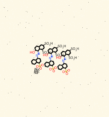 O=S(=O)([O-])c1ccc(N=Nc2c(O)ccc3cc(S(=O)(=O)O)cc(S(=O)(=O)O)c23)c2ccccc12.O=S(=O)([O-])c1ccc(N=Nc2c(O)ccc3cc(S(=O)(=O)O)cc(S(=O)(=O)O)c23)c2ccccc12.O=S(=O)([O-])c1ccc(N=Nc2c(O)ccc3cc(S(=O)(=O)O)cc(S(=O)(=O)O)c23)c2ccccc12.[Na+].[Na+].[Na+]